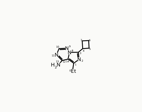 CCc1nc(C2CCC2)n2ncnc(N)c12